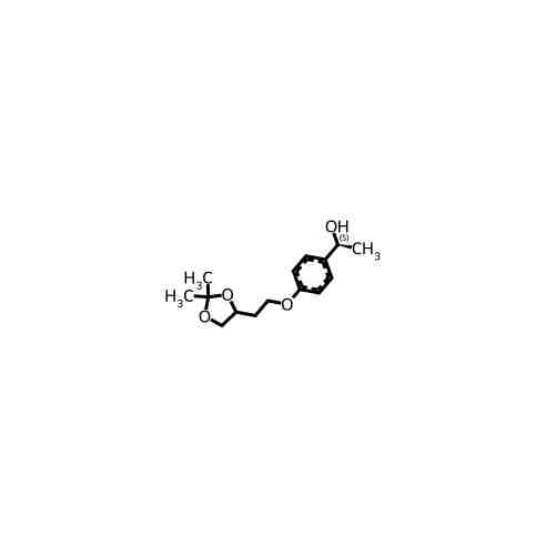 C[C@H](O)c1ccc(OCCC2COC(C)(C)O2)cc1